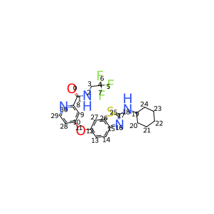 O=C(NCC(F)(F)F)c1cc(Oc2ccc3nc(NC4CCCCC4)sc3c2)ccn1